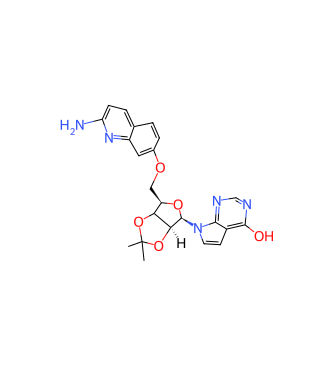 CC1(C)OC2[C@@H](COc3ccc4ccc(N)nc4c3)O[C@@H](n3ccc4c(O)ncnc43)[C@H]2O1